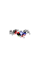 C[C@@H](NC(=O)c1nc(C(C)(C)C)no1)c1ccc(B2OC(C)(C)C(C)(C)O2)cc1F